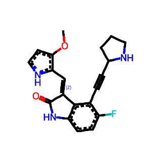 COc1cc[nH]c1/C=C1\C(=O)Nc2ccc(F)c(C#CC3CCCN3)c21